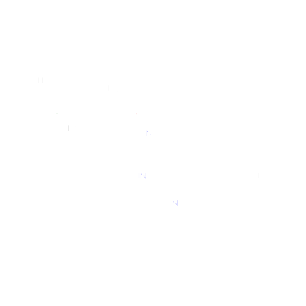 Cc1cccc(NC(=O)Nc2cc(C(C)(C)C(C)(F)F)on2)c1